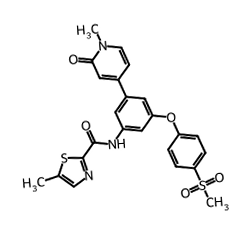 Cc1cnc(C(=O)Nc2cc(Oc3ccc(S(C)(=O)=O)cc3)cc(-c3ccn(C)c(=O)c3)c2)s1